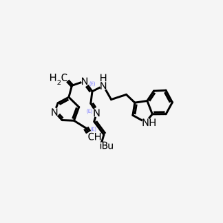 C#Cc1cncc(C(=C)\N=C(/C=N/C=C/C(C)CC)NCCc2c[nH]c3ccccc23)c1